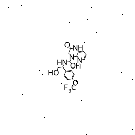 O=C1CN(C(O)NC(CO)c2ccc(OC(F)(F)F)cc2)c2ncccc2N1